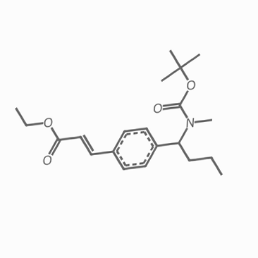 CCCC(c1ccc(/C=C/C(=O)OCC)cc1)N(C)C(=O)OC(C)(C)C